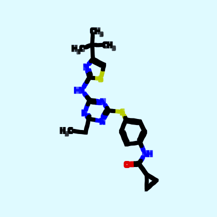 CCc1nc(Nc2nc(C(C)(C)C)cs2)nc(Sc2ccc(NC(=O)C3CC3)cc2)n1